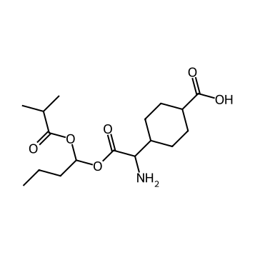 CCCC(OC(=O)C(C)C)OC(=O)C(N)C1CCC(C(=O)O)CC1